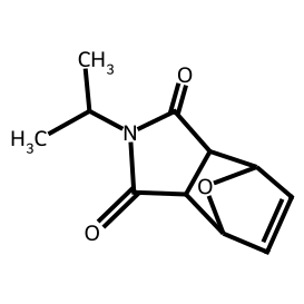 CC(C)N1C(=O)C2C3C=CC(O3)C2C1=O